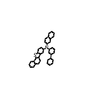 c1ccc(-c2cccc(N(c3ccc4ccccc4c3)c3ccc4sc5c6ccccc6ccc5c4c3)c2)cc1